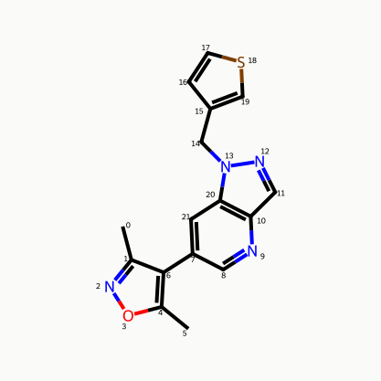 Cc1noc(C)c1-c1cnc2cnn(Cc3ccsc3)c2c1